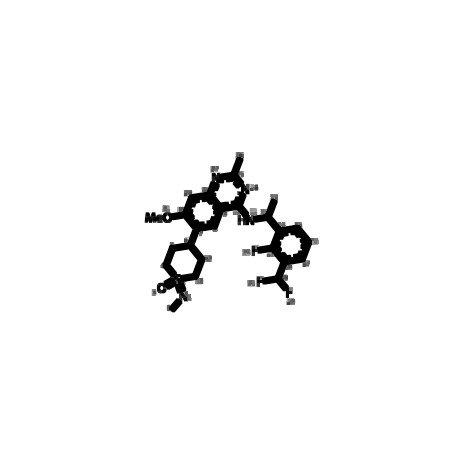 CN=S1(=O)CCC(c2cc3c(NC(C)c4cccc(C(F)F)c4F)nc(C)nc3cc2OC)CC1